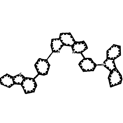 c1cc(-c2ccc3ccc4ccc(-c5ccc(-c6cccc7c6sc6ccccc67)cc5)nc4c3n2)cc(-n2c3ccccc3c3ccccc32)c1